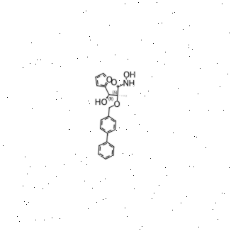 C[C@@](OCc1ccc(-c2ccccc2)cc1)(C(=O)NO)[C@@H](O)c1ccco1